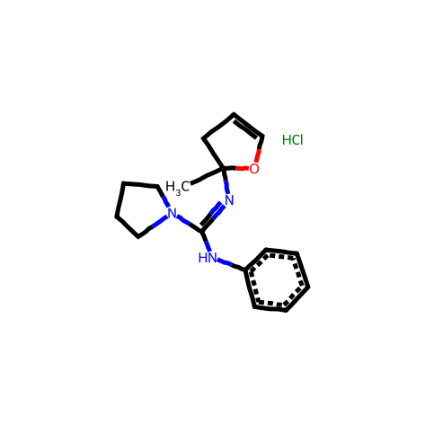 CC1(N=C(Nc2ccccc2)N2CCCC2)CC=CO1.Cl